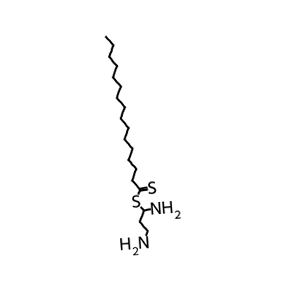 CCCCCCCCCCCCCCCC(=S)SC(N)CCN